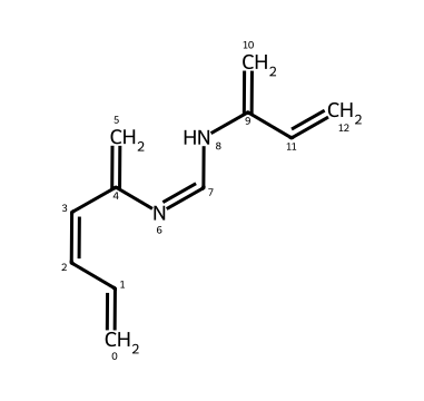 C=C/C=C\C(=C)/N=C\NC(=C)C=C